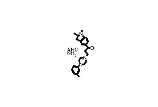 Cc1cccc(N2CCN(CCC(=O)c3ccc4c(c3)CC(C)N4C)CC2)c1.NC=O